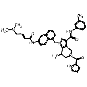 Cc1cccc(NC(=O)c2nn(Cc3cccc4cc(NC(=O)C=CCN(C)C)ccc34)c3c2CN(C(=O)c2ccc[nH]2)CC3C)c1